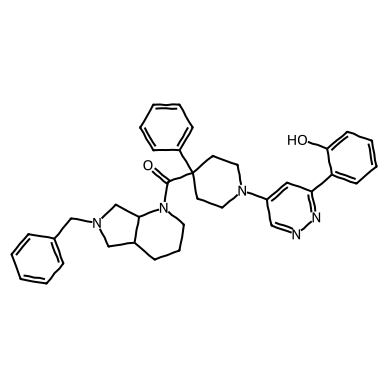 O=C(N1CCCC2CN(Cc3ccccc3)CC21)C1(c2ccccc2)CCN(c2cnnc(-c3ccccc3O)c2)CC1